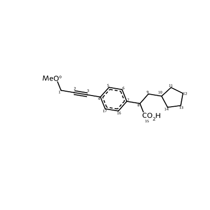 COCC#Cc1ccc(C(CC2CCCC2)C(=O)O)cc1